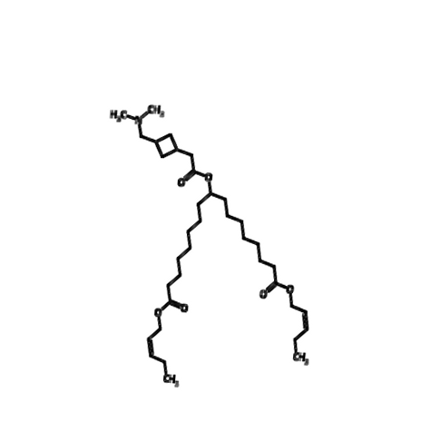 CC/C=C\COC(=O)CCCCCCCC(CCCCCCCC(=O)OC/C=C\CC)OC(=O)CC1CC(CN(C)C)C1